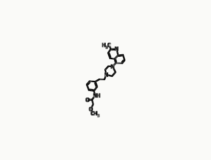 COCC(=O)Nc1cccc(CCN2CCN(c3cccc4nc(C)ccc34)CC2)c1